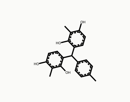 Cc1ccc(C(c2ccc(O)c(C)c2O)c2ccc(O)c(C)c2O)cc1